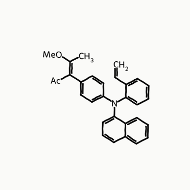 C=Cc1ccccc1N(c1ccc(/C(C(C)=O)=C(\C)OC)cc1)c1cccc2ccccc12